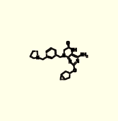 Nc1nc(OC2CC3CC3C2)nc2c1NC(=O)CN2Cc1cccc(CN2CCCC2)c1